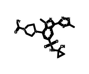 Cc1nnc(-c2nn(C)c3c(N4CCN(C(=O)C(C)C)CC4)cc(S(=O)(=O)NC4(C#N)CC4)cc23)s1